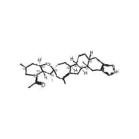 CC(=O)N1C[C@@H](C)C[C@H]2O[C@]3(CC[C@@H]4C(=C(C)C3)C[C@H]3[C@H]4CC[C@@H]4Cc5n[nH]cc5C[C@@]43C)[C@H](C)[C@@H]21